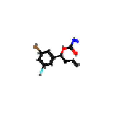 C=CC[C@H](OC(N)=O)c1cc(F)cc(Br)c1